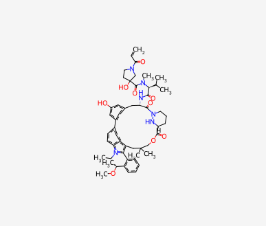 C=CC(=O)N1CCC(O)(C(=O)N(C)[C@H](C(=O)N[C@H]2Cc3cc(O)cc(c3)-c3ccc4c(c3)c(c(-c3ccccc3[C@H](C)OC)n4CC)CC(C)(C)COC(=O)[C@@H]3CCCN(N3)C2=O)C(C)C)C1